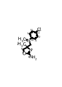 CN(C[C@@]1(C)COC(N)=N1)c1ccc(Cl)cc1